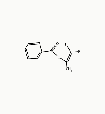 CC(CC(=O)c1ccccc1)=C(F)F